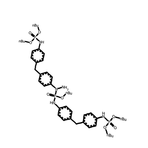 CCCCOP(=O)(Nc1ccc(Cc2ccc(NP(=O)(OCCCC)N(N)c3ccc(Cc4ccc(NP(=O)(OCCCC)OCCCC)cc4)cc3)cc2)cc1)OCCCC